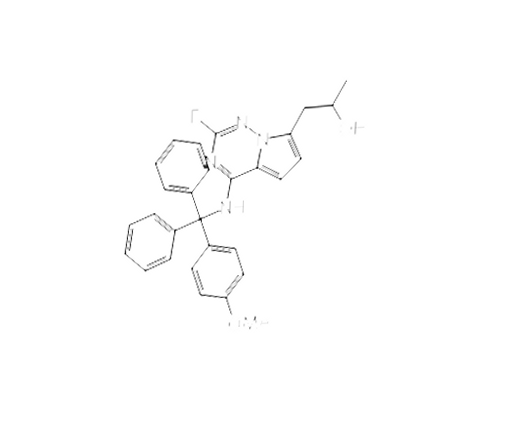 COc1ccc(C(Nc2nc(F)nn3c(CC(C)O)ccc23)(c2ccccc2)c2ccccc2)cc1